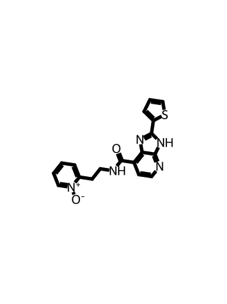 O=C(NCCc1cccc[n+]1[O-])c1ccnc2[nH]c(-c3cccs3)nc12